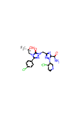 NC(=O)c1nc(Cn2nc(-c3ccc(Cl)cc3)n(C[C@@H](O)C(F)(F)F)c2=O)nn1-c1cnccc1Cl